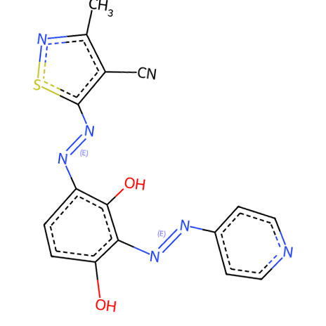 Cc1nsc(/N=N/c2ccc(O)c(/N=N/c3ccncc3)c2O)c1C#N